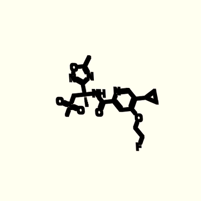 Cc1nc([C@](C)(CS(C)(=O)=O)NC(=O)c2cc(OCCF)c(C3CC3)cn2)no1